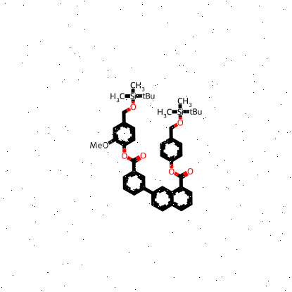 COc1cc(CO[Si](C)(C)C(C)(C)C)ccc1OC(=O)c1cccc(-c2ccc3cccc(C(=O)Oc4ccc(CO[Si](C)(C)C(C)(C)C)cc4)c3c2)c1